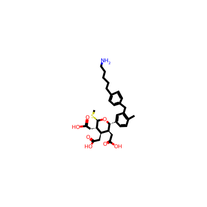 CS[C@H]1O[C@H](c2ccc(C)c(Cc3ccc(CCCCCN)cc3)c2)[C@@H](CC(=O)O)[C@@H](CC(=O)O)[C@@H]1CC(=O)O